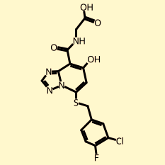 O=C(O)CNC(=O)c1c(O)cc(SCc2ccc(F)c(Cl)c2)n2ncnc12